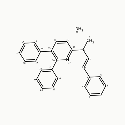 CC(C=Cc1ccccc1)c1ccc(-c2ccccc2)c(-c2ccccc2)n1.N